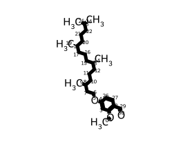 COc1cc(OCCC(C)CCC[C@H](C)CCC[C@H](C)CCCC(C)C)ccc1C=O